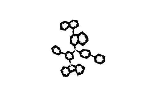 c1ccc(-c2ccc(N(c3cc(-c4ccccc4)cc(-n4c5ccccc5c5ccccc54)c3)c3ccc(-c4cccc5ccccc45)c4ccccc34)cc2)cc1